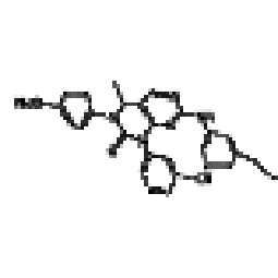 COc1ccc(N2C(=O)N(c3cccc(C#N)c3)c3nc(Nc4cccc(CCO)c4)ncc3C2C)cc1